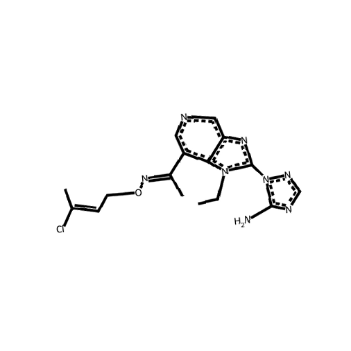 CCn1c(-n2ncnc2N)nc2cncc(/C(C)=N/OC/C=C(\C)Cl)c21